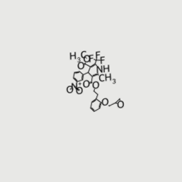 COC(=O)C1=C(C(F)(F)F)NC(C)=C(C(=O)OCCc2ccccc2OCC2CO2)C1c1cccc([N+](=O)[O-])c1